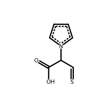 O=C(O)C(C=S)n1cccc1